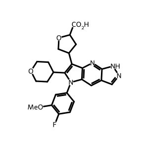 COc1cc(-n2c(C3CCOCC3)c(C3COC(C(=O)O)C3)c3nc4[nH]ncc4cc32)ccc1F